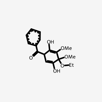 CCOC1(OC)C(O)=CC(C(=O)c2ccccc2)C(O)=C1OC